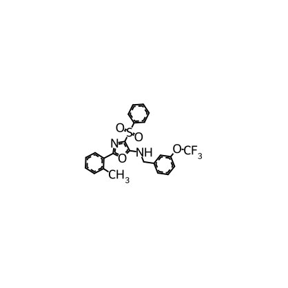 Cc1ccccc1-c1nc(S(=O)(=O)c2ccccc2)c(NCc2cccc(OC(F)(F)F)c2)o1